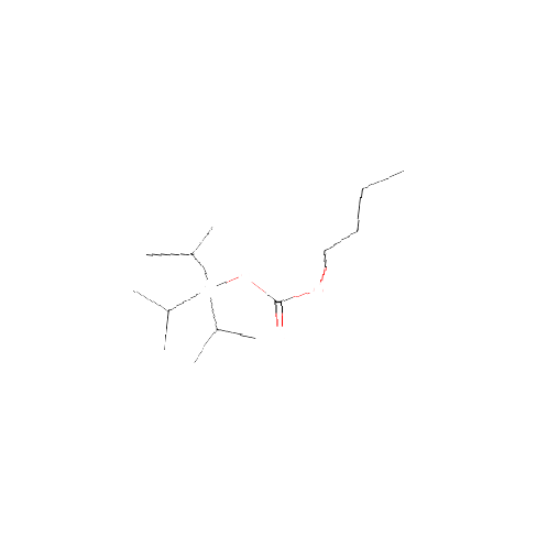 CCCCOC(=O)O[Si](C(C)C)(C(C)C)C(C)C